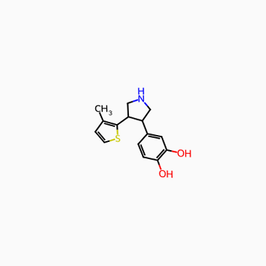 Cc1ccsc1C1CNCC1c1ccc(O)c(O)c1